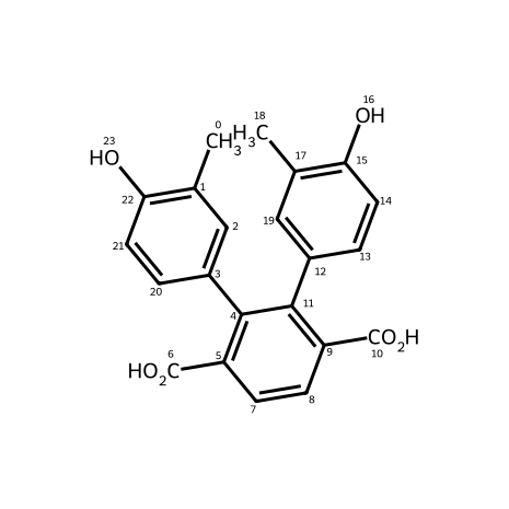 Cc1cc(-c2c(C(=O)O)ccc(C(=O)O)c2-c2ccc(O)c(C)c2)ccc1O